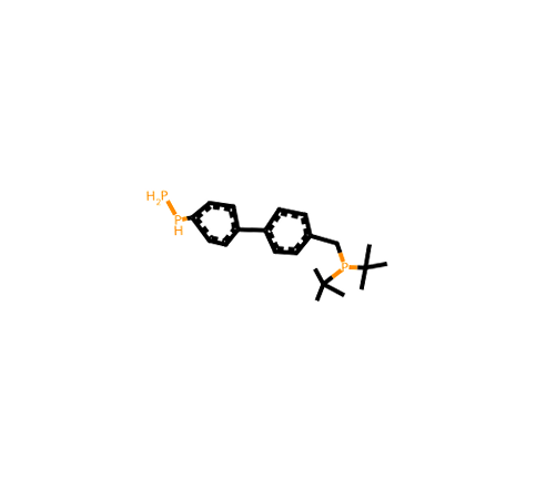 CC(C)(C)P(Cc1ccc(-c2ccc(PP)cc2)cc1)C(C)(C)C